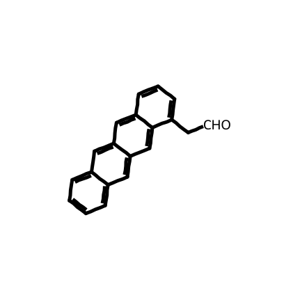 O=CCc1cccc2cc3cc4ccccc4cc3cc12